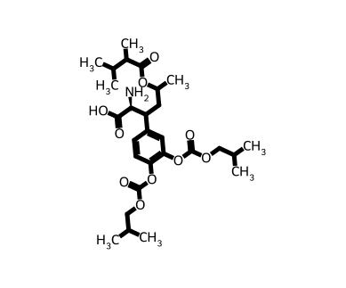 CC(C)COC(=O)Oc1ccc(C(CC(C)OC(=O)C(C)C(C)C)[C@H](N)C(=O)O)cc1OC(=O)OCC(C)C